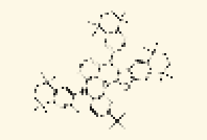 Cc1cc2c(cc1N1c3ccc(C(C)(C)C)cc3B3c4oc5cc6c(cc5c4N(c4ccc5c(c4)C(C)(C)CCC5(C)C)c4cccc1c43)C(C)(C)CCC6(C)C)C(C)(C)CCC2(C)C